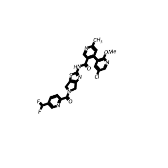 COc1ncc(Cl)cc1-c1cc(C)ncc1C(=O)Nc1nc2c(s1)CN(C(=O)c1ccc(C(F)F)cn1)C2